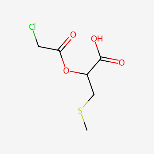 CSCC(OC(=O)CCl)C(=O)O